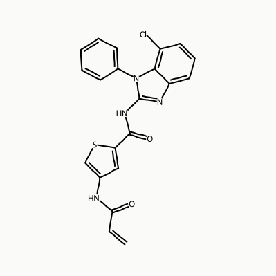 C=CC(=O)Nc1csc(C(=O)Nc2nc3cccc(Cl)c3n2-c2ccccc2)c1